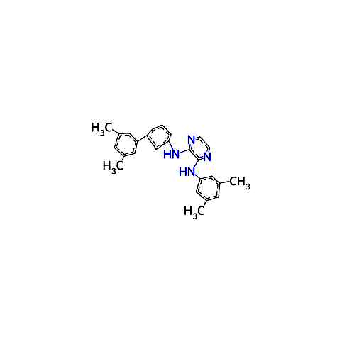 Cc1cc(C)cc(Nc2nccnc2Nc2cccc(-c3cc(C)cc(C)c3)c2)c1